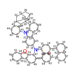 c1ccc(-c2cccc3cccc(-c4ccc(N(c5ccc6c(c5)c5cccc(C78CC9CC(CC(C9)C7)C8)c5n6-c5ccccc5)c5cccc6c5oc5ccccc56)cc4)c23)cc1